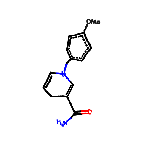 COc1ccc(N2C=CCC(C(N)=O)=C2)cc1